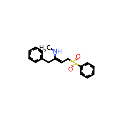 CNC(=CCS(=O)(=O)c1ccccc1)Cc1ccccc1